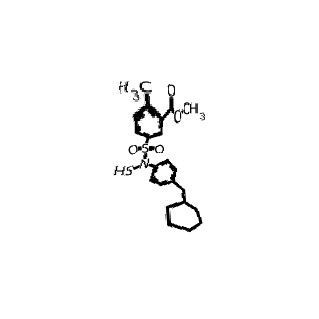 COC(=O)c1cc(S(=O)(=O)N(S)c2ccc(CC3CCCCC3)cc2)ccc1C